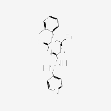 CCc1nc(NNc2ccncc2)nc(=O)n1-c1ccccc1C